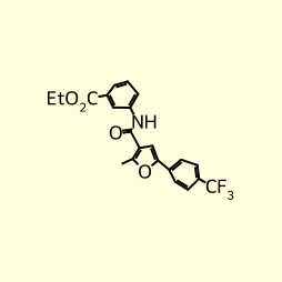 CCOC(=O)c1cccc(NC(=O)c2cc(-c3ccc(C(F)(F)F)cc3)oc2C)c1